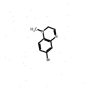 CN1CC=Nc2cc(Br)ccc21